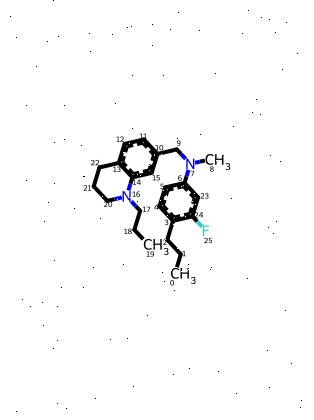 CCCc1ccc(N(C)Cc2ccc3c(c2)N(CCC)CCC3)cc1F